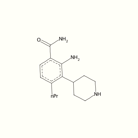 CCCc1ccc(C(N)=O)c(N)c1C1CCNCC1